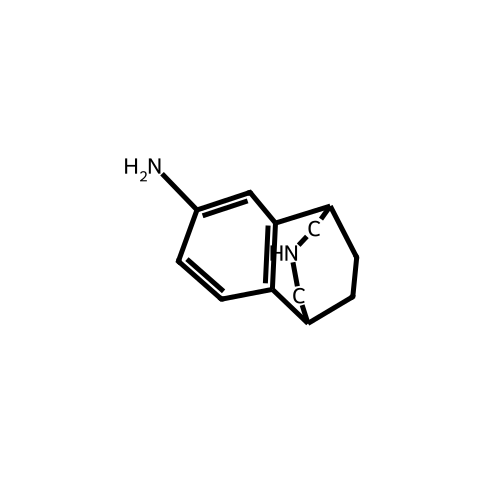 Nc1ccc2c(c1)C1CCC2CNC1